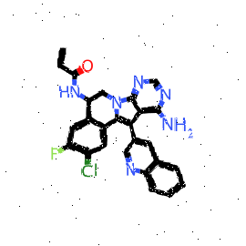 C=CC(=O)NC1Cn2c(c(-c3cnc4ccccc4c3)c3c(N)ncnc32)-c2cc(Cl)c(F)cc21